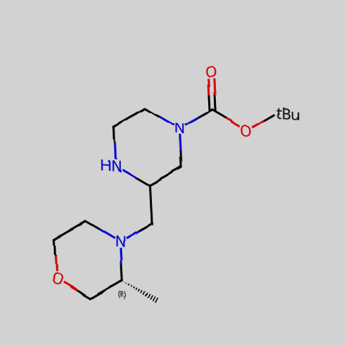 C[C@@H]1COCCN1CC1CN(C(=O)OC(C)(C)C)CCN1